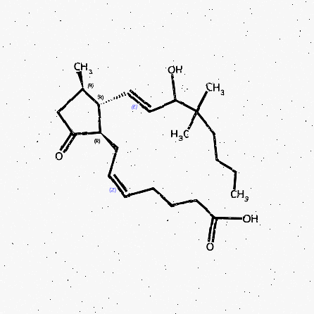 CCCCC(C)(C)C(O)/C=C/[C@H]1[C@H](C)CC(=O)[C@@H]1C/C=C\CCCC(=O)O